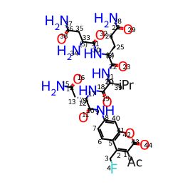 CC(=O)c1c(CF)c2ccc(NC(=O)[C@H](CC(N)=O)NC(=O)[C@@H](NC(=O)[C@H](CCC(N)=O)NC(=O)[C@@H](N)CC(N)=O)C(C)C)cc2oc1=O